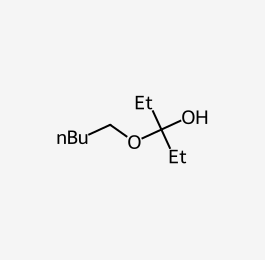 CCCCCOC(O)(CC)CC